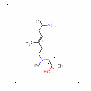 C/C(=C\CC(C)N)CCN(C[C@H](C)O)C(C)C